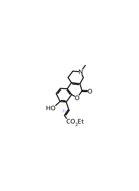 CCOC(=O)/C=C/c1c(O)ccc2c3c(c(=O)oc12)CN(C)CC3